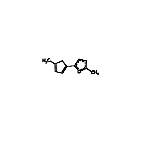 CC1=CC=C(c2ccc(C)o2)C1